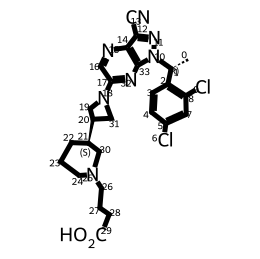 C[C@H](c1ccc(Cl)cc1Cl)n1nc(C#N)c2ncc(N3CC([C@@H]4CCCN(CCCC(=O)O)C4)C3)nc21